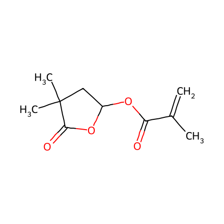 C=C(C)C(=O)OC1CC(C)(C)C(=O)O1